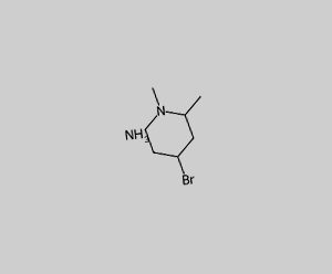 CC1CC(Br)CCN1C.N